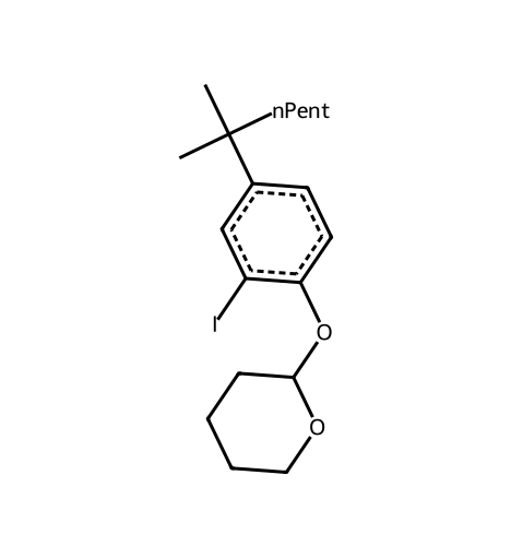 CCCCCC(C)(C)c1ccc(OC2CCCCO2)c(I)c1